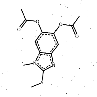 [CH2]Sc1nc2cc(OC(C)=O)c(OC(C)=O)cc2n1C